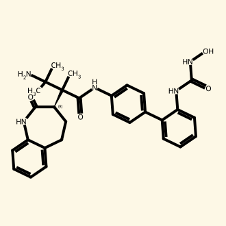 CC(C)(N)C(C)(C(=O)Nc1ccc(-c2ccccc2NC(=O)NO)cc1)[C@H]1CCc2ccccc2NC1=O